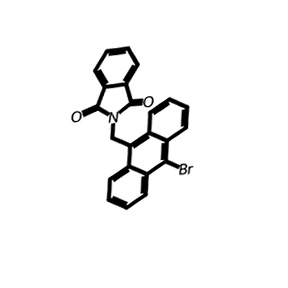 O=C1c2ccccc2C(=O)N1Cc1c2ccccc2c(Br)c2ccccc12